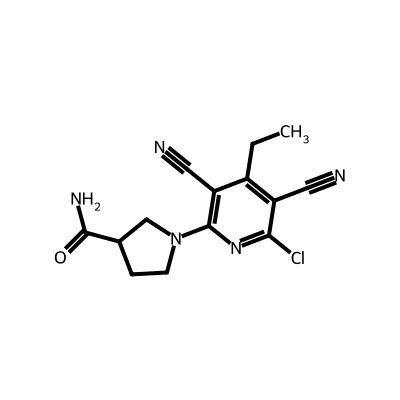 CCc1c(C#N)c(Cl)nc(N2CCC(C(N)=O)C2)c1C#N